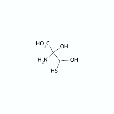 NC(O)(C(=O)O)C(O)S